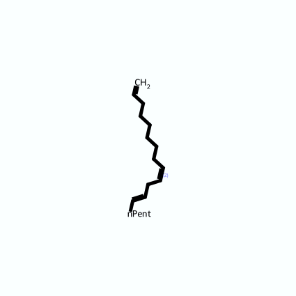 C=CCCCCCC/C=C\CC=CCCCCC